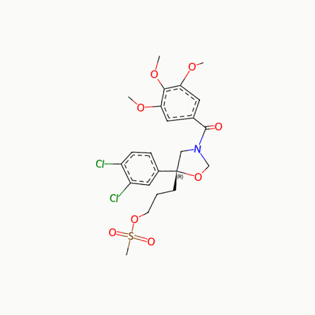 COc1cc(C(=O)N2CO[C@](CCCOS(C)(=O)=O)(c3ccc(Cl)c(Cl)c3)C2)cc(OC)c1OC